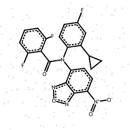 O=C(c1c(F)cccc1F)N(c1ccc(F)cc1C1CC1)c1ccc([N+](=O)[O-])c2nonc12